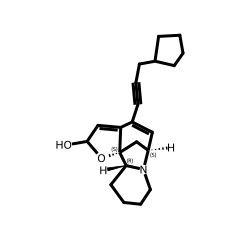 OC1C=C2C(C#CCC3CCCC3)=C[C@@H]3C[C@@]2(O1)[C@H]1CCCCN31